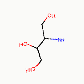 [NH]C(CO)C(O)CO